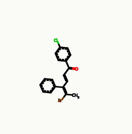 C/C(Br)=C(\C=C\C(=O)c1ccc(Cl)cc1)c1ccccc1